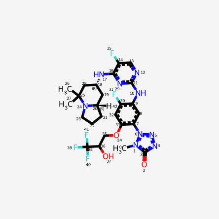 Cn1c(=O)nnn1-c1cc(Nc2ncc(F)c(N[C@@H]3C[C@@H]4CCCN4C(C)(C)C3)n2)c(F)cc1OCC(O)C(F)(F)F